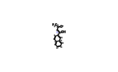 O=C(/C=C(\O)c1ccc2ccccc2c1)C(F)(F)F